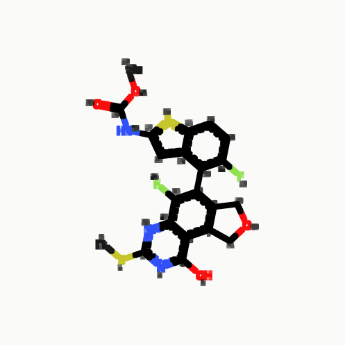 CCSc1nc(O)c2c3c(c(-c4c(F)ccc5sc(NC(=O)OC(C)(C)C)cc45)c(F)c2n1)COC3